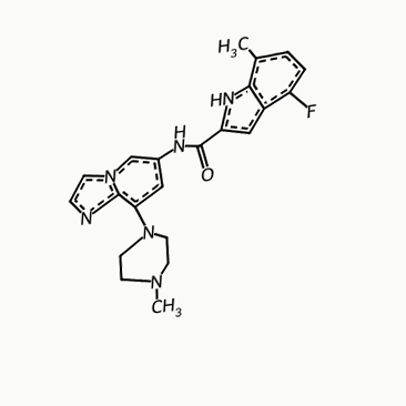 Cc1ccc(F)c2cc(C(=O)Nc3cc(N4CCN(C)CC4)c4nccn4c3)[nH]c12